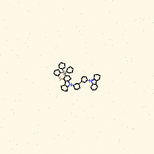 c1ccc([Si]2(c3ccccc3)c3ccccc3Sc3c2ccc2c3c3ccccc3n2-c2cccc(-c3cccc(-n4c5ccccc5c5ccccc54)c3)c2)cc1